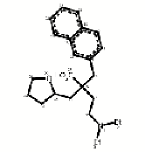 CCN(CC)CCC(Cc1ccc2ccccc2c1)(CC1CCCO1)C(=O)O